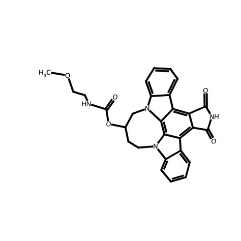 COCCNC(=O)OC1CCn2c3ccccc3c3c4c(c5c6ccccc6n(c5c32)C1)C(=O)NC4=O